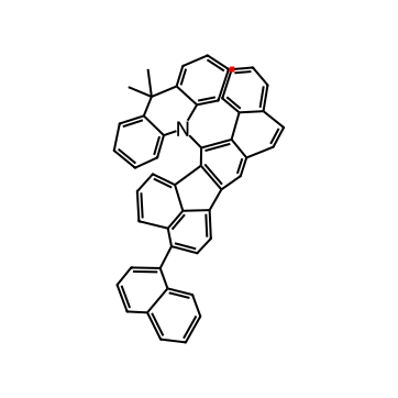 CC1(C)c2ccccc2N(c2c3c(cc4ccc5ccccc5c24)-c2ccc(-c4cccc5ccccc45)c4cccc-3c24)c2ccccc21